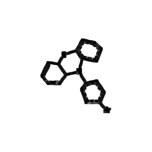 Brc1ccc(N2c3ccccc3SC3C=CC=CC32)cc1